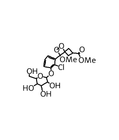 COC(=O)C1CC2(C1)OOC2(OC)c1cccc(OC2OC(CO)C(O)C(O)C2O)c1Cl